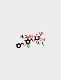 COc1c(C(=O)O[C@@H]2[C@@H](OC)[C@@H](O)[C@@H](CO)O[C@@H]2O)cc(Cl)c(OCc2ccccc2)c1Cl